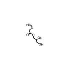 CCCCOCC(=O)OCC(O)CO